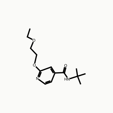 CCOCCOc1cc(C(=O)NC(C)(C)C)ccn1